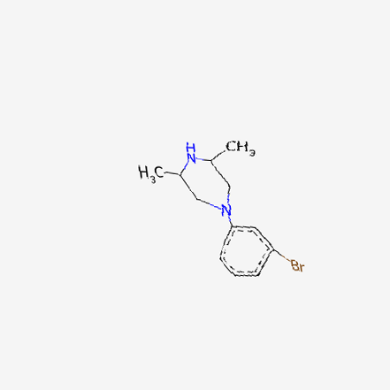 CC1CN(c2cccc(Br)c2)CC(C)N1